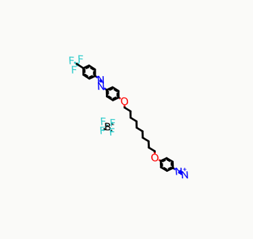 F[B-](F)(F)F.N#[N+]c1ccc(OCCCCCCCCCCOc2ccc(N=Nc3ccc(C(F)(F)F)cc3)cc2)cc1